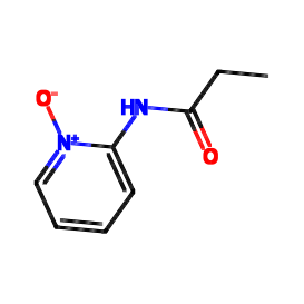 CCC(=O)Nc1cccc[n+]1[O-]